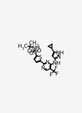 CC(C)(C)NS(=O)(=O)c1ccc(-c2ncc(C(F)(F)F)c(Nc3cc(C4CC4)[nH]n3)n2)s1